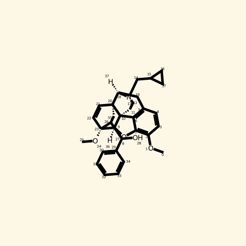 COc1ccc2c3c1O[C@@H]1[C@]34CCN(CC3CC3)[C@H](C2)[C@]42C=C[C@@]1(OC)C(C(O)c1ccccc1)C2